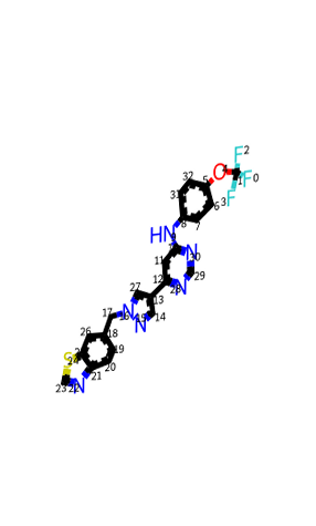 FC(F)(F)Oc1ccc(Nc2cc(-c3cnn(Cc4ccc5ncsc5c4)c3)ncn2)cc1